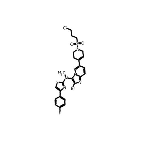 CCc1nc2ccc(C3=CCN(S(=O)(=O)CCCCl)CC3)cn2c1N(C)c1nc(-c2ccc(F)cc2)cs1